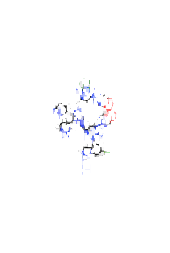 CN(Cc1cc(N2CCOCC2)nc(Cl)n1)C(c1cccnc1)C(c1cccnc1)N(C)Cc1cc(N2CCOCC2)nc(-c2cc(F)cc3[nH]ccc23)n1